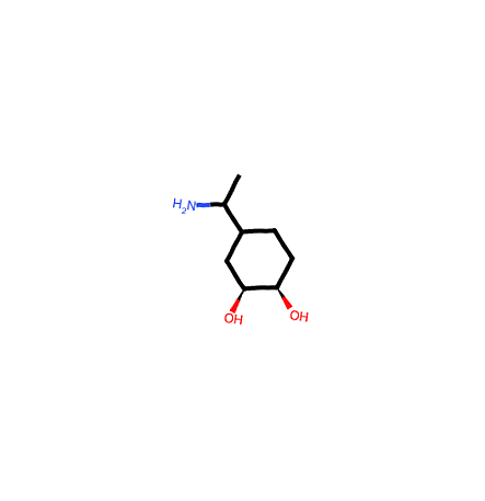 CC(N)C1CC[C@@H](O)[C@@H](O)C1